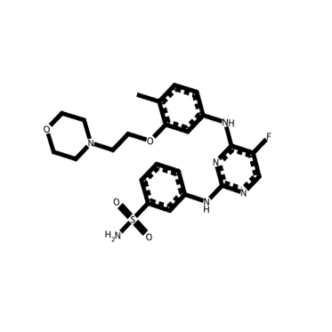 Cc1ccc(Nc2nc(Nc3cccc(S(N)(=O)=O)c3)ncc2F)cc1OCCN1CCOCC1